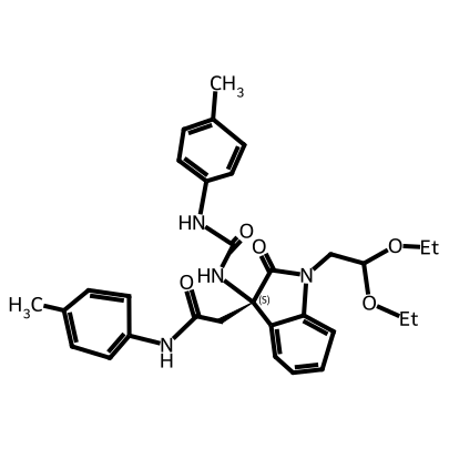 CCOC(CN1C(=O)[C@@](CC(=O)Nc2ccc(C)cc2)(NC(=O)Nc2ccc(C)cc2)c2ccccc21)OCC